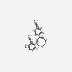 C1=C\CCCC\C=C/1.[C-]#Cc1ccccc1.[C-]#Cc1ccccc1.[Pt+2]